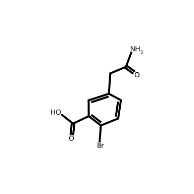 NC(=O)Cc1ccc(Br)c(C(=O)O)c1